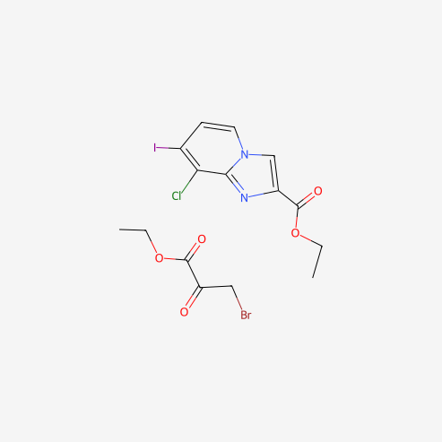 CCOC(=O)C(=O)CBr.CCOC(=O)c1cn2ccc(I)c(Cl)c2n1